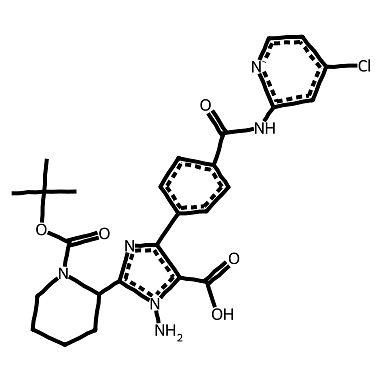 CC(C)(C)OC(=O)N1CCCCC1c1nc(-c2ccc(C(=O)Nc3cc(Cl)ccn3)cc2)c(C(=O)O)n1N